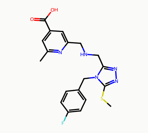 CSc1nnc(CNCc2cc(C(=O)O)cc(C)n2)n1Cc1ccc(F)cc1